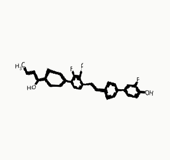 CCCC(O)C1CCC(c2ccc(CCc3ccc(-c4ccc(O)c(F)c4)cc3)c(F)c2F)CC1